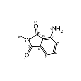 [CH2]N1C(=O)c2cccc(N)c2C1=O